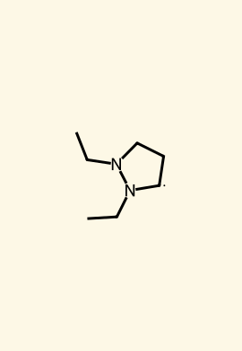 CCN1[CH]CCN1CC